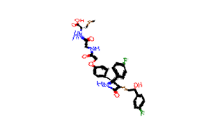 CSC[C@H](NC(=O)CNC(=O)COc1ccc([C@]2(c3ccc(F)cc3)NC(=O)[C@@H]2SCC(O)c2ccc(F)cc2)cc1)C(=O)O